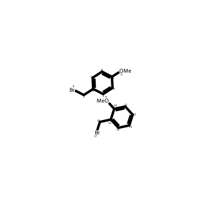 COc1ccc(CBr)cc1.COc1ccccc1CBr